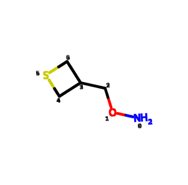 NOCC1CSC1